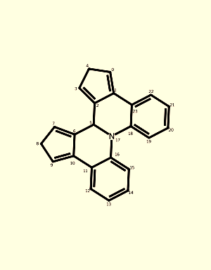 C1=C2C(=CC1)C1C3=CCC=C3c3ccccc3N1c1ccccc12